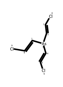 ClC=C[As](C=CCl)C=CCl